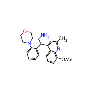 COc1cccc2c(C(CN)c3ccccc3N3CCOCC3)cc(C)nc12